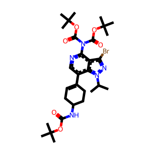 CC(C)n1nc(Br)c2c(N(C(=O)OC(C)(C)C)C(=O)OC(C)(C)C)ncc(C3=CCC(NC(=O)OC(C)(C)C)CC3)c21